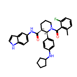 Cc1cccc(F)c1C(=O)N1CCC[C@H](C(=O)Nc2ccc3[nH]ccc3c2)[C@@H]1c1ccc(NC2CCCC2)cc1